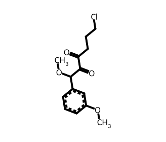 COc1cccc(C(OC)C(=O)C(=O)CCCCl)c1